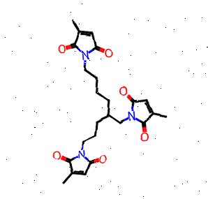 CC1=CC(=O)N(CCCCC(CCCN2C(=O)C=C(C)C2=O)CN2C(=O)C=C(C)C2=O)C1=O